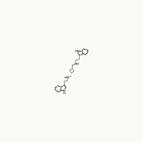 c1ccc2c(CCNC[C@H]3C[C@H](CNCCc4c[nH]c5ccccc45)C3)c[nH]c2c1